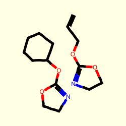 C1CCC(OC2=NCCO2)CC1.C=CCOC1=NCCO1